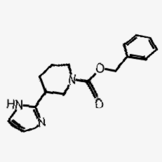 O=C(OCc1ccccc1)N1CCCC(c2ncc[nH]2)C1